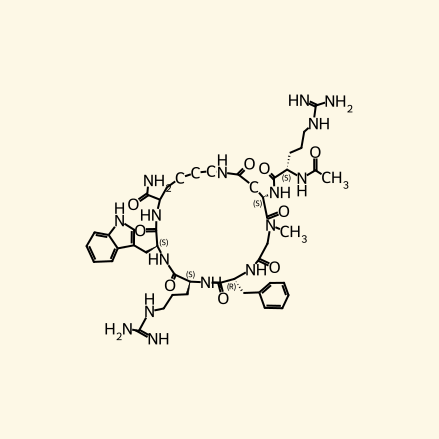 CC(=O)N[C@@H](CCCNC(=N)N)C(=O)N[C@H]1CC(=O)NCCCCC(C(N)=O)NC(=O)[C@H](Cc2c[nH]c3ccccc23)NC(=O)[C@H](CCCNC(=N)N)NC(=O)[C@@H](Cc2ccccc2)NC(=O)CN(C)C1=O